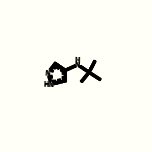 CC(C)(C)Nc1cn[nH]c1